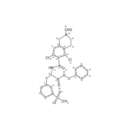 CS(=O)(=O)c1cccc(CC(NC(=O)c2c(Cl)cc3c(c2Cl)CCN(C=O)C3)C(=O)OCc2ccccc2)c1